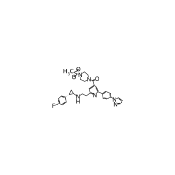 CS(=O)(=O)N1CCN(C(=O)c2cc(CCNC3C[C@H]3c3ccc(F)cc3)nc(-c3ccc(-n4cccn4)cc3)c2)CC1